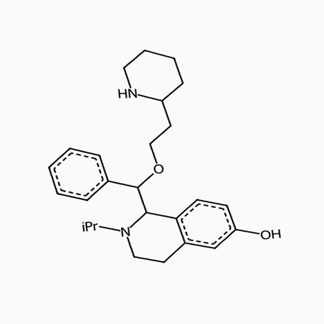 CC(C)N1CCc2cc(O)ccc2C1C(OCCC1CCCCN1)c1ccccc1